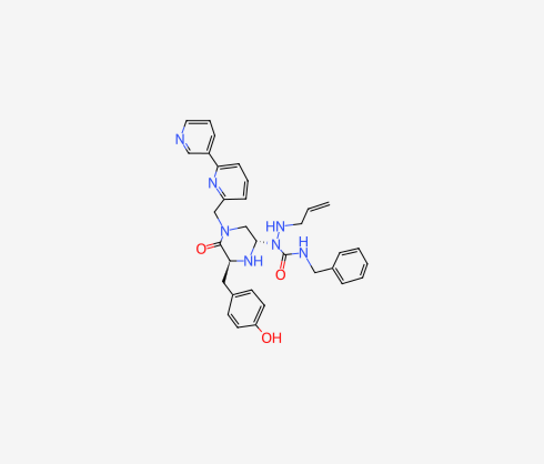 C=CCNN(C(=O)NCc1ccccc1)[C@H]1CN(Cc2cccc(-c3cccnc3)n2)C(=O)[C@H](Cc2ccc(O)cc2)N1